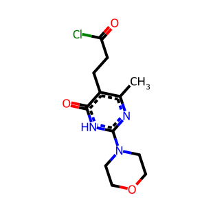 Cc1nc(N2CCOCC2)[nH]c(=O)c1CCC(=O)Cl